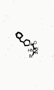 O=C(c1nnc(Br)[nH]1)N1CCC(Cc2ccccc2)CC1